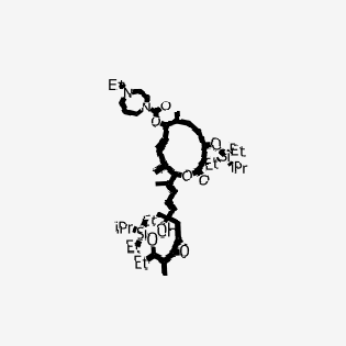 CCC(O[Si](CC)(CC)C(C)C)C(C)C1OC1CC(C)(O)/C=C/C=C(\C)C1OC(=O)CC(O[Si](CC)(CC)C(C)C)CCC(C)C(OC(=O)N2CCCN(CC)CC2)/C=C/C1C